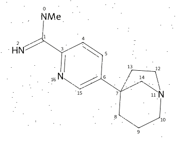 CNC(=N)c1ccc(C23CCCN(CC2)C3)cn1